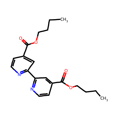 CCCCOC(=O)c1ccnc(-c2cc(C(=O)OCCCC)ccn2)c1